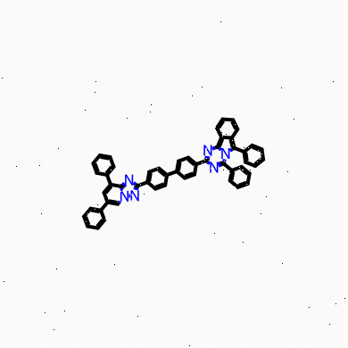 c1ccc(-c2cc(-c3ccccc3)c3nc(-c4ccc(-c5ccc(-c6nc(-c7ccccc7)n7c(-c8ccccc8)c8ccccc8c7n6)cc5)cc4)nn3c2)cc1